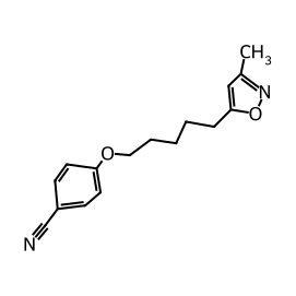 Cc1cc(CCCCCOc2ccc(C#N)cc2)on1